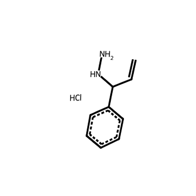 C=CC(NN)c1ccccc1.Cl